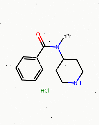 CCCN(C(=O)c1ccccc1)C1CCNCC1.Cl